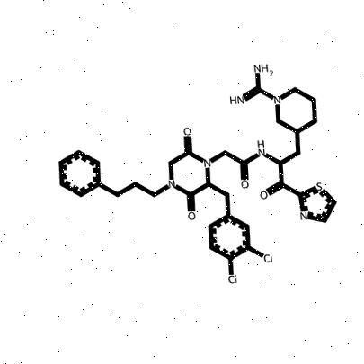 N=C(N)N1CCCC(CC(NC(=O)CN2C(=O)CN(CCCc3ccccc3)C(=O)C2Cc2ccc(Cl)c(Cl)c2)C(=O)c2nccs2)C1